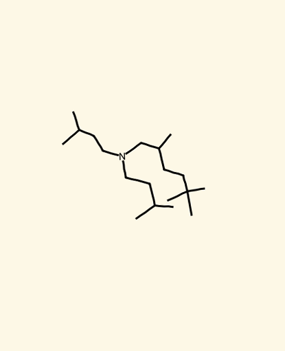 CC(C)CCN(CCC(C)C)CC(C)CCC(C)(C)C